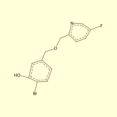 Oc1cc(COCc2ccc(F)cn2)ccc1Br